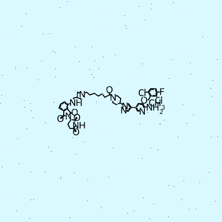 CC(Oc1cc(-c2cnn(C3CCN(C(=O)CCCCCCN4CC(CNc5cccc6c5C(=O)N(C5CCC(=O)NC5=O)C6=O)C4)CC3)c2)cnc1N)c1c(Cl)ccc(F)c1Cl